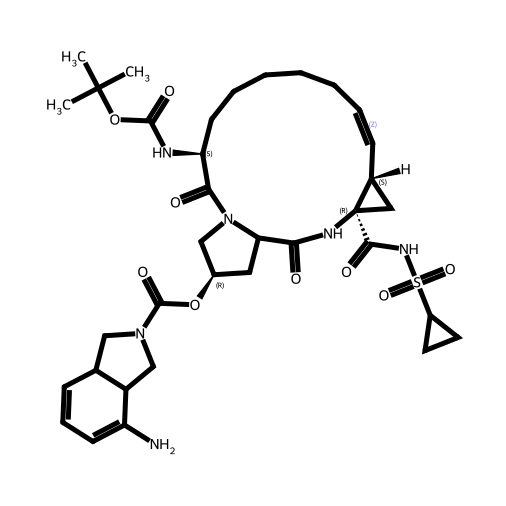 CC(C)(C)OC(=O)N[C@H]1CCCCC/C=C\[C@@H]2C[C@@]2(C(=O)NS(=O)(=O)C2CC2)NC(=O)C2C[C@@H](OC(=O)N3CC4C=CC=C(N)C4C3)CN2C1=O